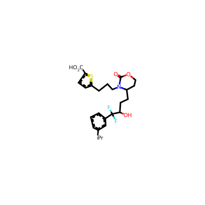 CC(C)c1cccc(C(F)(F)C(O)CCC2CCOC(=O)N2CCCc2ccc(C(=O)O)s2)c1